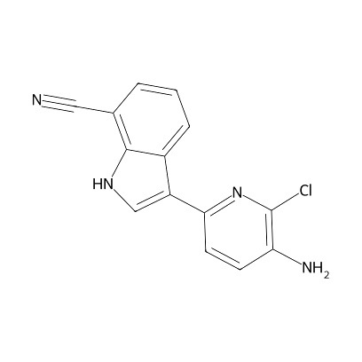 N#Cc1cccc2c(-c3ccc(N)c(Cl)n3)c[nH]c12